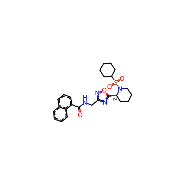 O=C(NCc1noc([C@@H]2CCCCN2S(=O)(=O)C2CCCCC2)n1)c1cccc2ccccc12